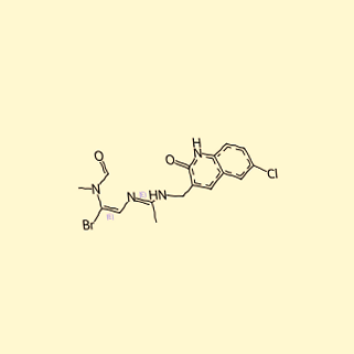 C/C(=N\C=C(\Br)N(C)C=O)NCc1cc2cc(Cl)ccc2[nH]c1=O